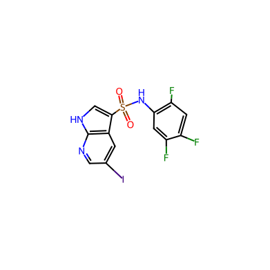 O=S(=O)(Nc1cc(F)c(F)cc1F)c1c[nH]c2ncc(I)cc12